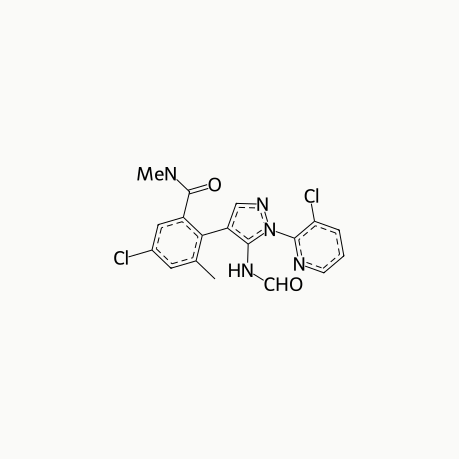 CNC(=O)c1cc(Cl)cc(C)c1-c1cnn(-c2ncccc2Cl)c1NC=O